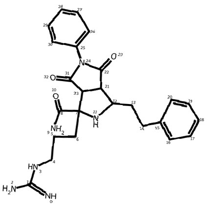 N=C(N)NCCCC1(C(N)=O)NC(CCc2ccccc2)C2C(=O)N(c3ccccc3)C(=O)C21